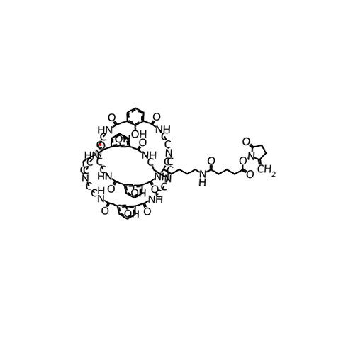 C=C1CCC(=O)N1OC(=O)CCCC(=O)NCCCCC1CN2CCNC(=O)c3cccc(c3O)C(=O)NCCN(CCNC(=O)c3cccc(c3O)C(=O)N1)CCN1CCNC(=O)c3cccc(c3O)C(=O)NCCN(CCNC(=O)c3cccc(c3O)C(=O)NCC1)CC2